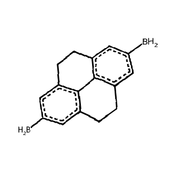 Bc1cc2c3c(c1)CCc1cc(B)cc(c1-3)CC2